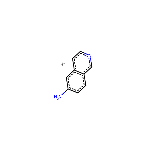 Nc1ccc2cnccc2c1.[H+]